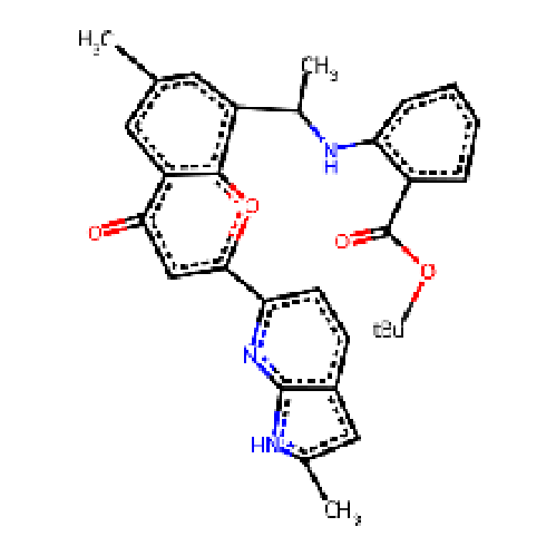 Cc1cc(C(C)Nc2ccccc2C(=O)OC(C)(C)C)c2oc(-c3ccc4cc(C)[nH]c4n3)cc(=O)c2c1